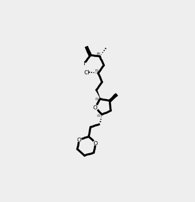 C=C(I)[C@H](C)C[C@@H](Cl)CC[C@@H]1O[C@@H](CCC2OCCCO2)CC1=C